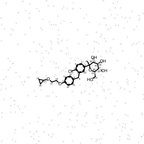 CC1(c2ccc(Cl)c(Cc3ccc(OCCOC4CC4)cc3)c2)O[C@H](CO)[C@@H](O)[C@H](O)[C@H]1O